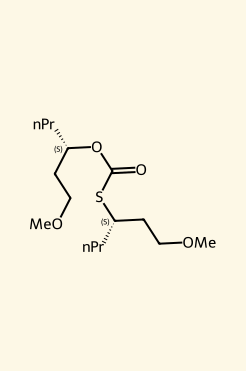 CCC[C@@H](CCOC)OC(=O)S[C@@H](CCC)CCOC